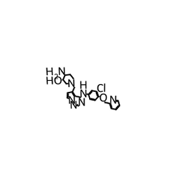 N[C@H]1CCN(Cc2ccn3ncnc(Nc4ccc(OCc5ccccn5)c(Cl)c4)c23)C[C@@H]1O